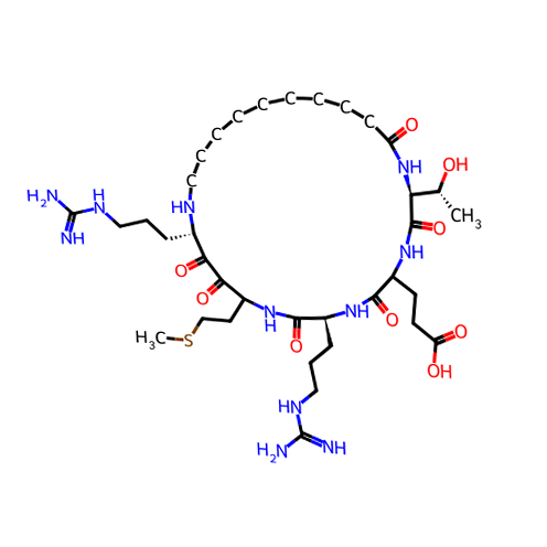 CSCCC1NC(=O)[C@H](CCCNC(=N)N)NC(=O)C(CCC(=O)O)NC(=O)[C@H]([C@@H](C)O)NC(=O)CCCCCCCCCN[C@@H](CCCNC(=N)N)C(=O)C1=O